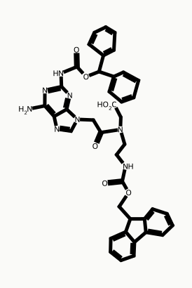 Nc1nc(NC(=O)OC(c2ccccc2)c2ccccc2)nc2c1ncn2CC(=O)N(CCNC(=O)OCC1c2ccccc2-c2ccccc21)CC(=O)O